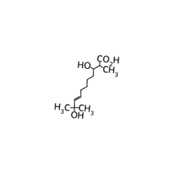 CC(C(=O)O)C(O)CCCC/C=C/C(C)(C)O